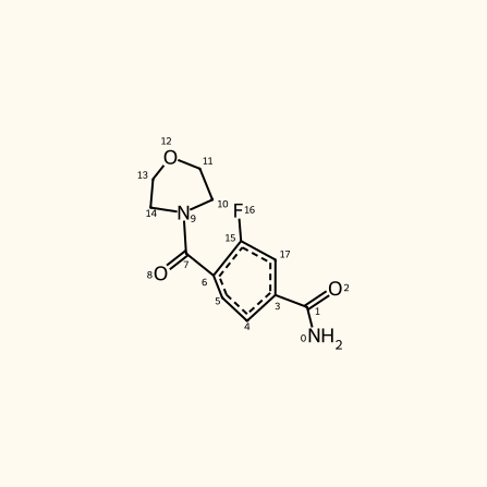 NC(=O)c1ccc(C(=O)N2CCOCC2)c(F)c1